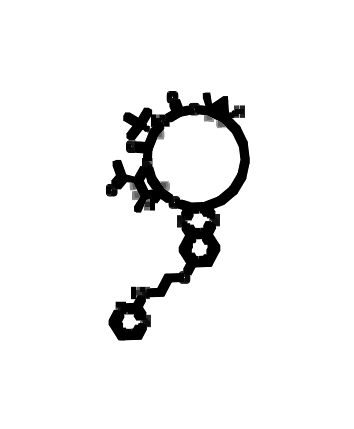 CC(=O)[C@@H]1[C@H](C)[C@@H]2CN1C(=O)[C@H](C(C)(C)C)NC(=O)O[C@]1(C)C[C@H]1CCCCCCc1nc3ccc(OCCNc4ncccn4)cc3nc1O2